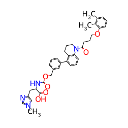 Cc1cccc(OCCCC(=O)N2CCCc3c(-c4cccc(COC(=O)NC(Cc5cn(C)cn5)C(=O)O)c4)cccc32)c1C